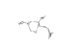 N=Cc1ccc(O)cc1O